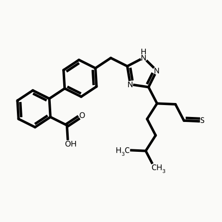 CC(C)CCC(CC=S)c1n[nH]c(Cc2ccc(-c3ccccc3C(=O)O)cc2)n1